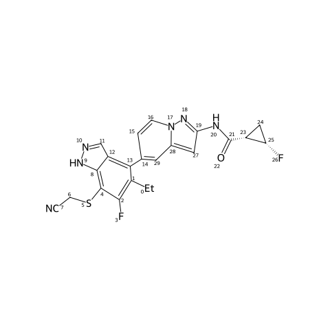 CCc1c(F)c(SCC#N)c2[nH]ncc2c1-c1ccn2nc(NC(=O)[C@@H]3C[C@@H]3F)cc2c1